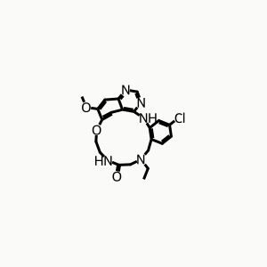 CCN1CC(=O)NCCOc2cc3c(ncnc3cc2OC)Nc2cc(Cl)ccc2C1